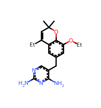 CCOc1cc(Cc2cnc(N)nc2N)cc2c1OC(C)(C)C=C2CC